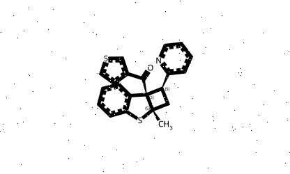 C[C@]12C[C@H](c3ccccn3)[C@@]1(C(=O)c1ccsc1)c1ccccc1S2